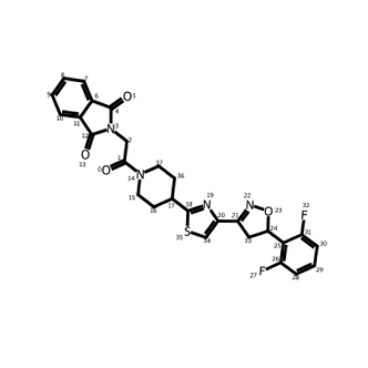 O=C(CN1C(=O)c2ccccc2C1=O)N1CCC(c2nc(C3=NOC(c4c(F)cccc4F)C3)cs2)CC1